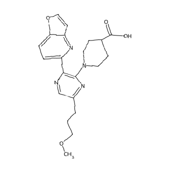 COCCCc1cnc(-c2ccc3occc3n2)c(N2CCC(C(=O)O)CC2)n1